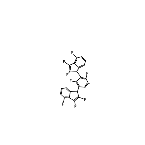 FC1=C(F)C(c2c[c]c(F)c(C3C(F)=C(F)c4c(F)cccc43)c2F)c2cccc(F)c21